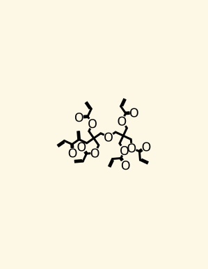 C=CC(=O)OCC(COCC(COC(=O)C=C)(COC(=O)C=C)CC(=C)C(=O)C=C)(COC(=O)C=C)COC(=O)C=C